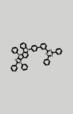 c1ccc(-c2nc(-c3ccccc3)nc(-c3cccc(-c4ccc(-n5c6ccccc6c6c5ccc5c7c(nc(-c8ccccc8)n7-c7ccccc7)n(-c7ccccc7)c56)cc4)c3)n2)cc1